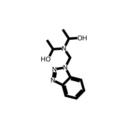 CC(O)N(Cn1nnc2ccccc21)C(C)O